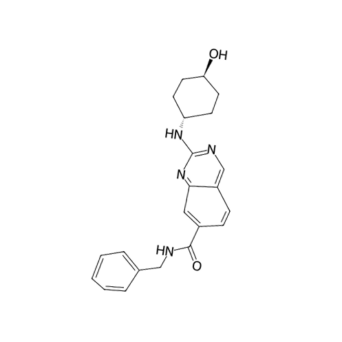 O=C(NCc1ccccc1)c1ccc2cnc(N[C@H]3CC[C@H](O)CC3)nc2c1